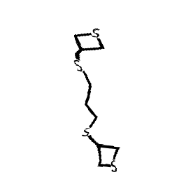 C(CSC1CSC1)CSC1CSC1